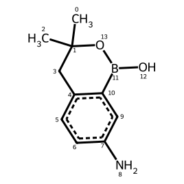 CC1(C)Cc2ccc(N)cc2B(O)O1